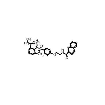 Cc1cccc(C(=O)NO)c1N(C)S(=O)(=O)c1ccc(OCCNC(=O)c2ccc3ccccc3n2)cc1